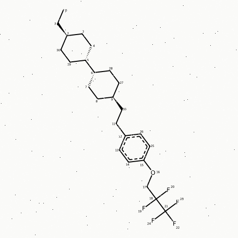 CC[C@H]1CC[C@H]([C@H]2CC[C@H](CCc3ccc(OCC(F)(F)C(F)(F)F)cc3)CC2)CC1